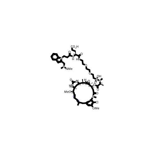 CNN(C)Cc1cc2ccccc2n1CCC(=O)N[C@@H](CCC(=O)O)C(=O)NCCOCCOCCP(=O)(O)N(C)[C@@H](C)C(=O)O[C@H]1CC(=O)N(C)c2cc(cc(OC)c2Cl)C/C(C)=C/C=C/[C@@H](OC)[C@@]2(O)C[C@H](OC(=O)N2)[C@@H](C)[C@@H]2O[C@@]12C